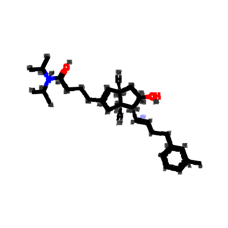 Cc1cccc(CC/C=C/[C@@H]2[C@H]3CC(CCCC(=O)N(C(C)C)C(C)C)=C[C@H]3C[C@H]2O)c1